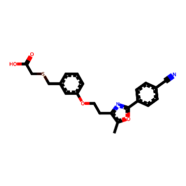 Cc1oc(-c2ccc(C#N)cc2)nc1CCOc1cccc(CSCC(=O)O)c1